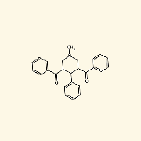 CN1CC(C(=O)c2ccccc2)C(c2ccccc2)C(C(=O)c2ccccc2)C1